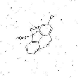 CCCCCCCCC1(CCCCCCCC)c2cccc3ccc4cc(Br)cc1c4c23